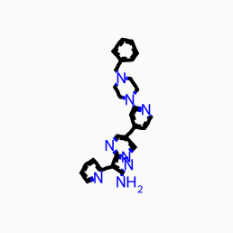 Nc1nn2cc(-c3ccnc(N4CCN(Cc5ccccc5)CC4)c3)cnc2c1-c1ccccn1